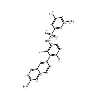 Nc1ncc2cc(-c3c(F)ccc(NS(=O)(=O)c4cc(C(F)(F)F)cc(C(F)(F)F)c4)c3F)ccc2n1